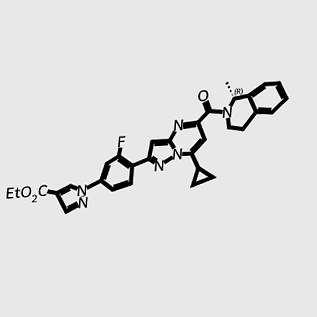 CCOC(=O)c1cnn(-c2ccc(-c3cc4nc(C(=O)N5CCc6ccccc6[C@H]5C)cc(C5CC5)n4n3)c(F)c2)c1